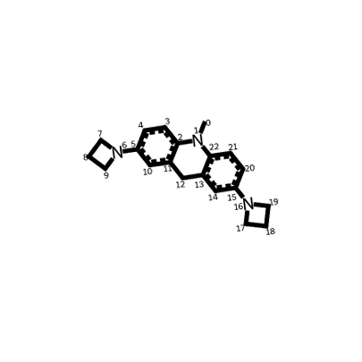 CN1c2ccc(N3CCC3)cc2Cc2cc(N3CCC3)ccc21